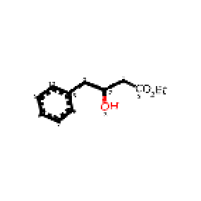 CCOC(=O)CC(O)Cc1ccccc1